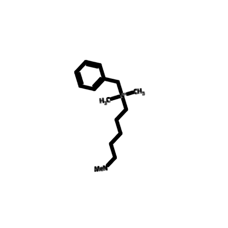 CNCCCCC[N+](C)(C)Cc1ccccc1